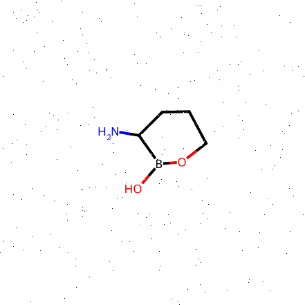 NC1CCCOB1O